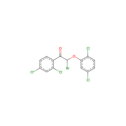 O=C(c1ccc(Cl)cc1Cl)C(Br)Oc1cc(Cl)ccc1Cl